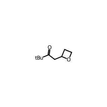 CC(C)(C)C(=O)CC1CCO1